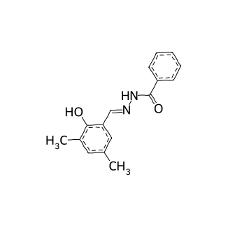 Cc1cc(C)c(O)c(/C=N/NC(=O)c2ccccc2)c1